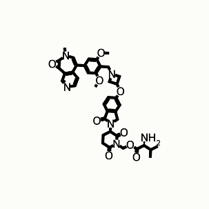 COc1cc(C2=CN(C)C3OC3c3cnccc32)cc(OC)c1CN1CC(Oc2ccc3c(c2)CN(C2CCC(=O)N(COC(=O)[C@@H](N)C(C)C)C2=O)C3=O)C1